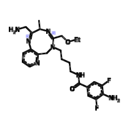 CCOC/C1=N/C(C)/C(CN)=N\c2cccnc2CN1CCCCNC(=O)c1cc(F)c(N)c(F)c1